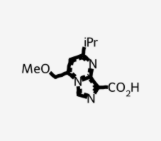 COCc1cc(C(C)C)nc2c(C(=O)O)ncn12